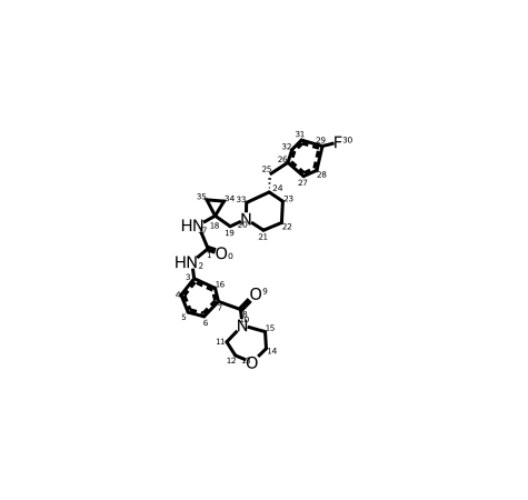 O=C(Nc1cccc(C(=O)N2CCOCC2)c1)NC1(CN2CCC[C@@H](Cc3ccc(F)cc3)C2)CC1